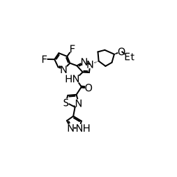 CCO[C@H]1CC[C@H](n2cc(NC(=O)c3csc(-c4cn[nH]c4)n3)c(-c3ncc(F)cc3F)n2)CC1